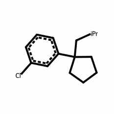 CC(C)CC1(c2cccc(Cl)c2)CCCC1